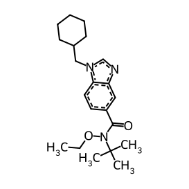 CCON(C(=O)c1ccc2c(c1)ncn2CC1CCCCC1)C(C)(C)C